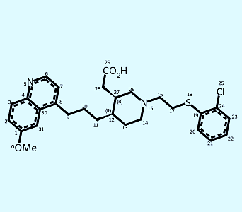 COc1ccc2nccc(CCC[C@@H]3CCN(CCSc4ccccc4Cl)C[C@@H]3CC(=O)O)c2c1